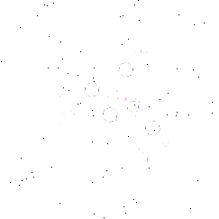 COc1ccc(CN(Cc2ccc(OC)cc2)S(=O)(=O)c2c(CC3CCN(C(=O)OC(C)(C)C)CC3)ccc(C3CCC(CNC(=O)OC(C)(C)C)CC3)c2-c2nnn(Cc3ccc(OC)cc3)n2)cc1